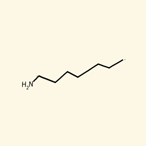 [CH2]CCCCC[CH]N